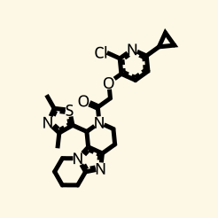 Cc1nc(C)c(C2c3c(nc4n3CCCC4)CCN2C(=O)COc2ccc(C3CC3)nc2Cl)s1